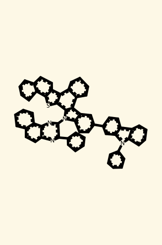 c1ccc(-c2nc3ccc4ccccc4c3nc2-n2c3ccc(-c4ccc5c6ccccc6n(-c6ccccc6)c5c4)cc3c3c4ccccc4c4c5ccc6ccccc6c5sc4c32)cc1